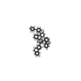 C1=CC2Oc3ccc(-c4ccccc4)cc3C2C(c2ccccc2-c2nc(-c3ccc4c(c3)CCc3ccccc3-4)nc(-c3cccc4oc5ccccc5c34)n2)=C1